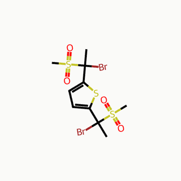 CC(Br)(c1ccc(C(C)(Br)S(C)(=O)=O)s1)S(C)(=O)=O